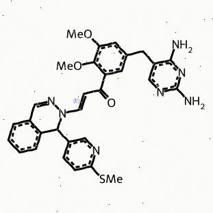 COc1cc(Cc2cnc(N)nc2N)cc(C(=O)/C=C/N2N=Cc3ccccc3C2c2ccc(SC)nc2)c1OC